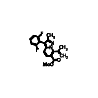 C=C(C)c1c(C(=O)OC)ccc2c(-c3c(F)cccc3F)c(C)nn12